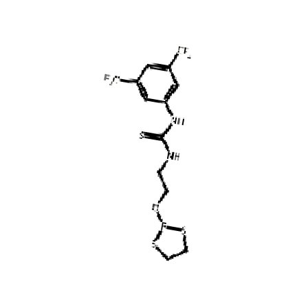 FC(F)(F)c1cc(NC(=S)NCCOP2SCCS2)cc(C(F)(F)F)c1